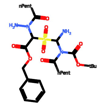 CCCCCC(=O)N(N)C(C(=O)OCc1ccccc1)S(=O)(=O)C(N)N(C(=O)CCCCC)C(=O)OC(C)(C)C